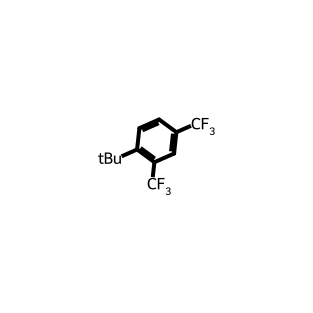 CC(C)(C)c1ccc(C(F)(F)F)cc1C(F)(F)F